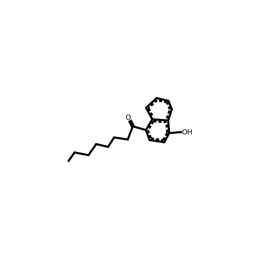 CCCCCCCC(=O)c1ccc(O)c2ccccc12